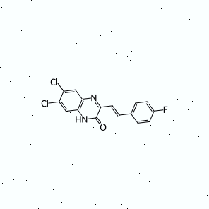 O=c1[nH]c2cc(Cl)c(Cl)cc2nc1C=Cc1ccc(F)cc1